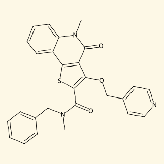 CN(Cc1ccccc1)C(=O)c1sc2c(c1OCc1ccncc1)c(=O)n(C)c1ccccc21